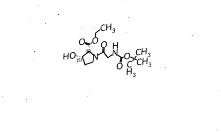 CCOC(=O)[C@H]1[C@@H](O)CCN1C(=O)CNC(=O)OC(C)(C)C